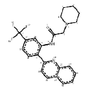 O=C(CN1CCCCC1)Nc1cc(C(F)(F)F)ccc1-c1ccc2cc[c]cc2n1